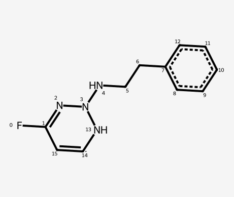 FC1=NN(NCCc2ccccc2)N[C]=C1